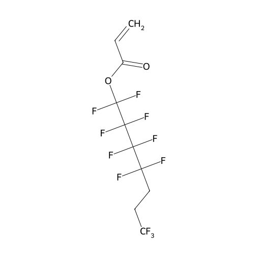 C=CC(=O)OC(F)(F)C(F)(F)C(F)(F)C(F)(F)CCC(F)(F)F